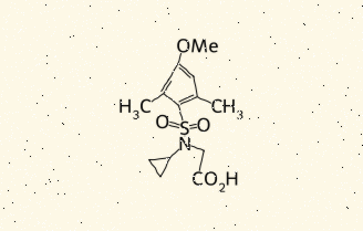 COc1cc(C)c(S(=O)(=O)N(CC(=O)O)C2CC2)c(C)c1